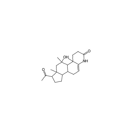 CC(=O)C1CCC2C3CC=C4NC(=O)CCC4(C)C3C(C)(O)CC12C